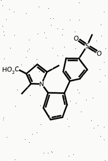 Cc1cc(C(=O)O)c(C)n1-c1ccccc1-c1ccc(S(C)(=O)=O)cc1